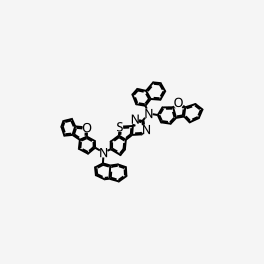 c1ccc2c(N(c3ccc4c(c3)oc3ccccc34)c3ccc4c(c3)sc3nc(N(c5ccc6c(c5)oc5ccccc56)c5cccc6ccccc56)ncc34)cccc2c1